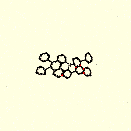 c1ccc(-c2ccc(N(c3ccccc3-c3ccccc3)c3cccc4c(-c5ccccc5)c(-c5ccccc5)c5ccccc5c34)cc2-c2ccccc2)cc1